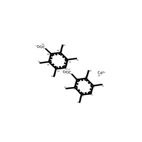 Cc1cc(C)c(C)c(C(=O)[O-])c1C.Cc1cc(C)c(C)c(C(=O)[O-])c1C.[Cd+2]